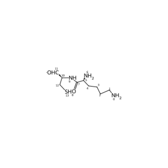 NCCCC[C@H](N)C(=O)N[C@H]([C]=O)CS